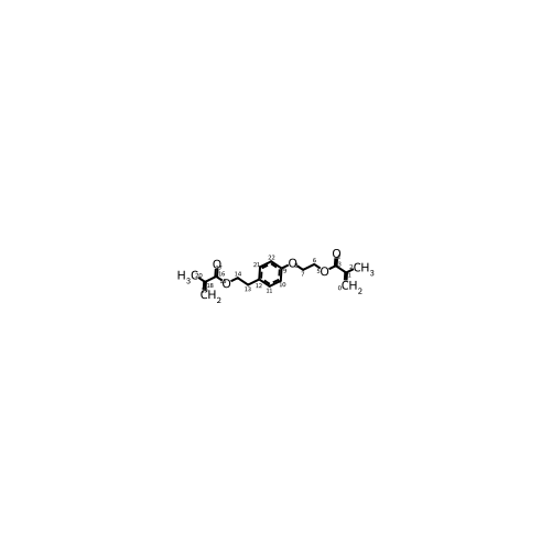 C=C(C)C(=O)OCCOc1ccc(CCOC(=O)C(=C)C)cc1